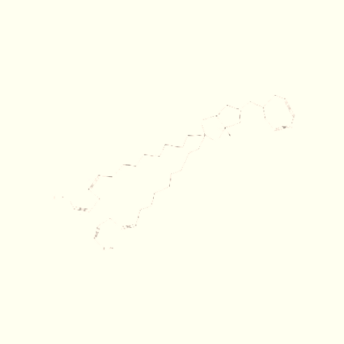 CCCCC/C=C\C/C=C\CCCCCCCCC1(CCCCCCCC/C=C\C/C=C\CCCCC)O[C@H]2CN(CC3CC=CN=CC3)C[C@@H]2O1